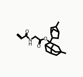 C=CC(=O)NCC(=O)OC1(C2CC3CC2CC3C)C2CC3CC1CC(C)(C3)C2